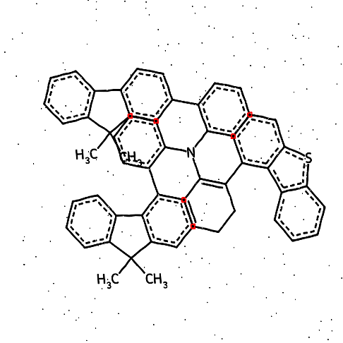 CC1(C)c2ccccc2-c2ccc(-c3ccccc3N(C3=C(c4cccc5sc6ccccc6c45)CCC=C3)c3ccccc3-c3cccc4c3-c3ccccc3C4(C)C)cc21